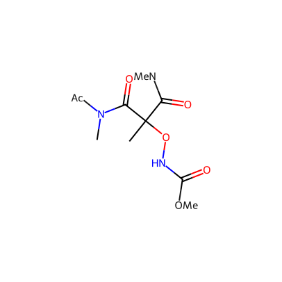 CNC(=O)C(C)(ONC(=O)OC)C(=O)N(C)C(C)=O